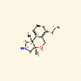 CC(C)Cc1cccc2c1CO[C@@H]1CNC[C@H]21